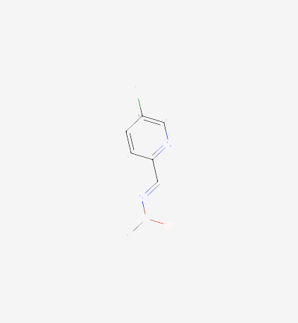 CC(C)(C)[S+]([O-])/N=C/c1ccc(Cl)cn1